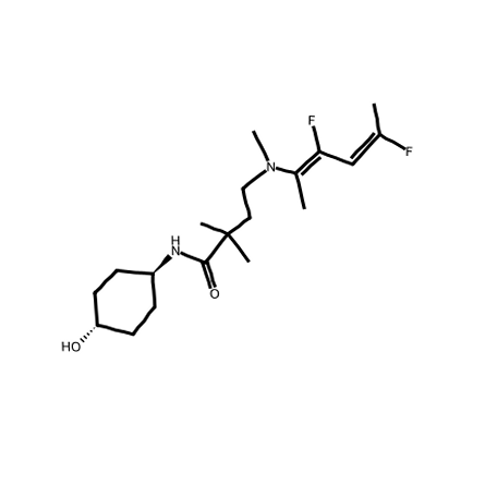 C/C(=C(F)\C=C(/C)F)N(C)CCC(C)(C)C(=O)N[C@H]1CC[C@H](O)CC1